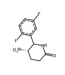 O=C1CC[C@H]([N+](=O)[O-])C(c2cc(F)ccc2F)N1